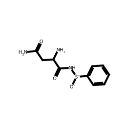 NC(=O)CC(N)C(=O)N[S+]([O-])c1ccccc1